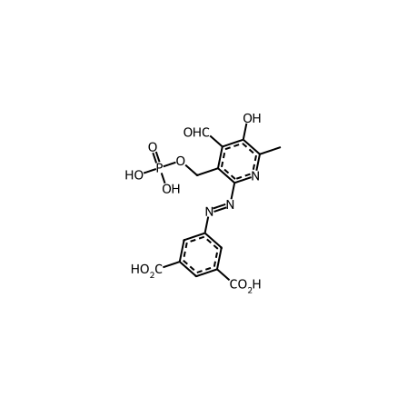 Cc1nc(N=Nc2cc(C(=O)O)cc(C(=O)O)c2)c(COP(=O)(O)O)c(C=O)c1O